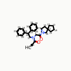 C#CC(=O)N(CC(=O)N1CCC2(CCCC2)C1)CC(c1ccccc1)c1ccccc1